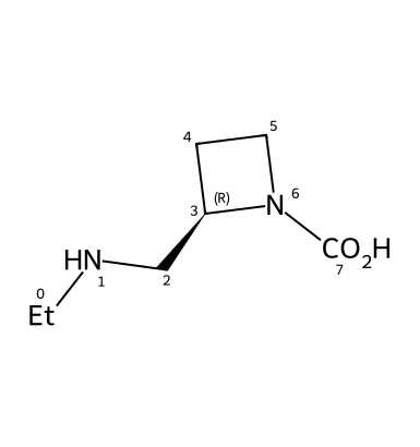 CCNC[C@H]1CCN1C(=O)O